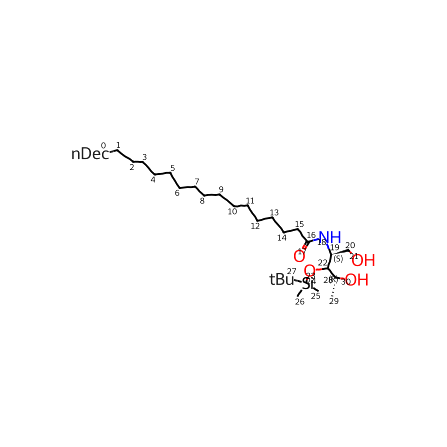 CCCCCCCCCCCCCCCCCCCCCCCCCC(=O)N[C@@H](CO)C(O[Si](C)(C)C(C)(C)C)[C@@H](C)O